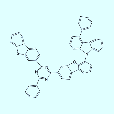 c1ccc(-c2nc(-c3ccc4c(c3)oc3c(-n5c6ccccc6c6c(-c7ccccc7)cccc65)cccc34)nc(-c3ccc4c(c3)sc3ccccc34)n2)cc1